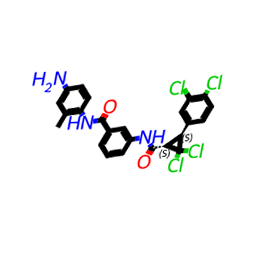 Cc1cc(N)ccc1NC(=O)c1cccc(NC(=O)[C@@H]2[C@@H](c3ccc(Cl)c(Cl)c3)C2(Cl)Cl)c1